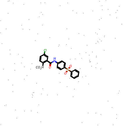 O=C(O)c1ccc(Cl)cc1C(=O)Nc1ccc(S(=O)(=O)c2ccccc2)cc1